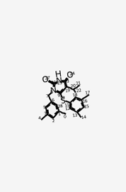 Cc1cc(C)cc(Cn2c(Sc3cc(C)cc(C)c3)c(C(C)C)c(=O)[nH]c2=O)c1